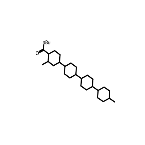 CCCCC(=O)C1CCC(C2CCC(C3CCC(C4CCC(C)CC4)CC3)CC2)CC1C